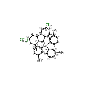 CC(C)c1cccc([Si](c2cccc(C(C)C)c2)(c2cccc(C(C)C)c2)C2C3C=CC=CC3C3CCC[CH]([Ti+3])C32)c1.[Cl-].[Cl-].[Cl-]